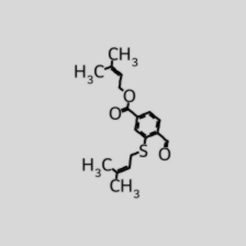 CC(C)=CCOC(=O)c1ccc(C=O)c(SCC=C(C)C)c1